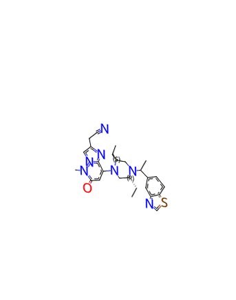 CC[C@H]1CN(C(C)c2ccc3scnc3c2)[C@H](CC)CN1c1cc(=O)n(C)n2cc(CC#N)nc12